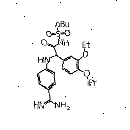 CCCCS(=O)(=O)NC(=O)C(Nc1ccc(C(=N)N)cc1)c1ccc(OC(C)C)c(OCC)c1